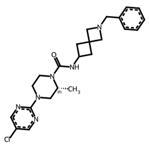 C[C@@H]1CN(c2ncc(Cl)cn2)CCN1C(=O)NC1CC2(C1)CN(Cc1ccccc1)C2